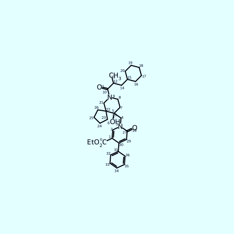 CCOC(=O)c1cn(C[C@@]2(O)CCN(C(=O)C(C)CC3CCCCC3)CC23CCCC3)c(=O)cc1-c1ccccc1